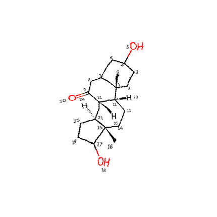 C[C@]12CCC(O)CC1CC(=O)[C@@H]1[C@H]2CC[C@]2(C)C(O)CC[C@@H]12